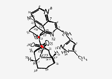 Cc1cc(Nc2cc3ncccc3c(NC3C[C@H]4CCC[C@@H](C3)N4S(=O)(=O)N3CC(C#N)C3)n2)n[nH]1